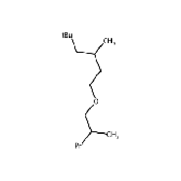 CC(CCOCC(C)C(C)C)CC(C)(C)C